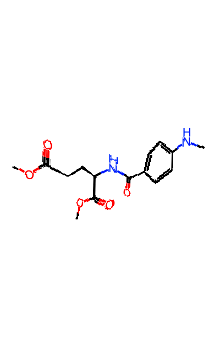 CNc1ccc(C(=O)N[C@H](CCC(=O)OC)C(=O)OC)cc1